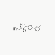 CC(C)CNC(=O)C(C)c1ccc(-c2cccc(F)c2)cc1